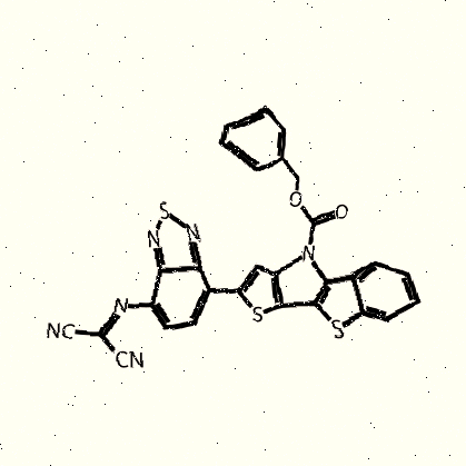 N#CC(C#N)=Nc1ccc(-c2cc3c(s2)c2sc4ccccc4c2n3C(=O)OCc2ccccc2)c2nsnc12